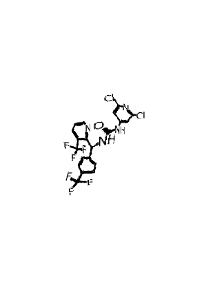 O=C(Nc1cc(Cl)nc(Cl)c1)N[C@@H](c1ccc(C(F)(F)F)cc1)c1ncccc1C(F)(F)F